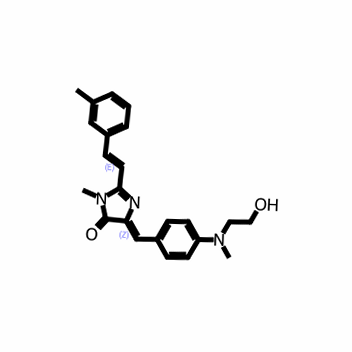 Cc1cccc(/C=C/C2=NC(=C\c3ccc(N(C)CCO)cc3)/C(=O)N2C)c1